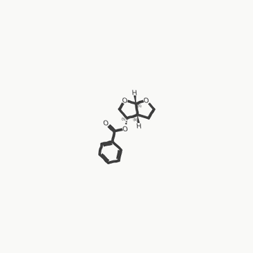 O=C(O[C@@H]1CO[C@@H]2OCC[C@@H]21)c1ccccc1